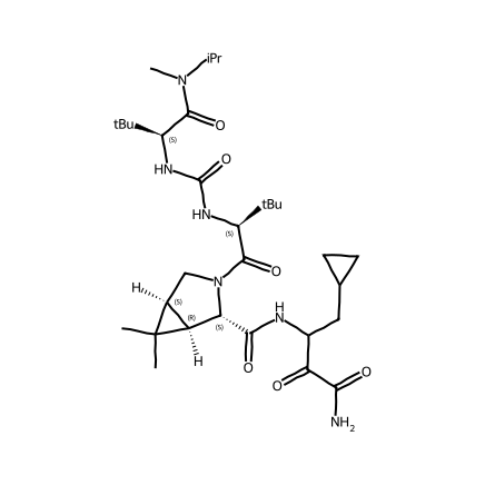 CC(C)N(C)C(=O)[C@@H](NC(=O)N[C@H](C(=O)N1C[C@H]2[C@@H]([C@H]1C(=O)NC(CC1CC1)C(=O)C(N)=O)C2(C)C)C(C)(C)C)C(C)(C)C